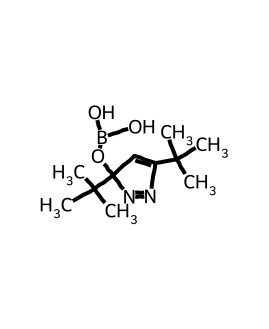 CC(C)(C)C1=CC(OB(O)O)(C(C)(C)C)N=N1